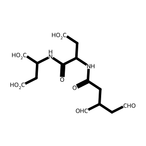 O=CCC(C=O)CC(=O)NC(CC(=O)O)C(=O)NC(CC(=O)O)C(=O)O